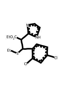 CCOC(=O)C(c1ncc[nH]1)C(SCC)c1ccc(Cl)cc1Cl